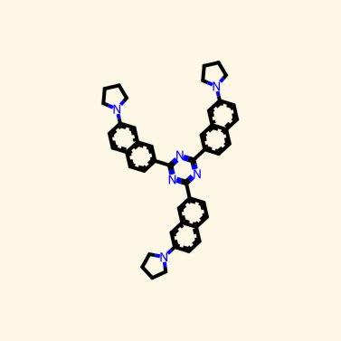 c1cc2ccc(N3CCCC3)cc2cc1-c1nc(-c2ccc3ccc(N4CCCC4)cc3c2)nc(-c2ccc3ccc(N4CCCC4)cc3c2)n1